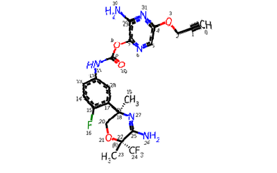 C#CCOc1cnc(OC(=O)Nc2ccc(F)c([C@]3(C)CO[C@@](C)(C(F)(F)F)C(N)=N3)c2)c(N)n1